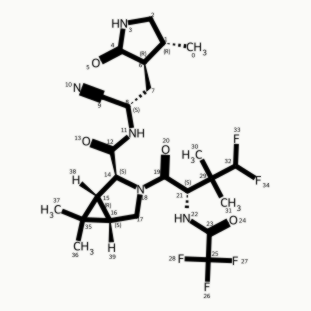 C[C@H]1CNC(=O)[C@@H]1C[C@@H](C#N)NC(=O)[C@@H]1[C@@H]2[C@H](CN1C(=O)[C@@H](NC(=O)C(F)(F)F)C(C)(C)C(F)F)C2(C)C